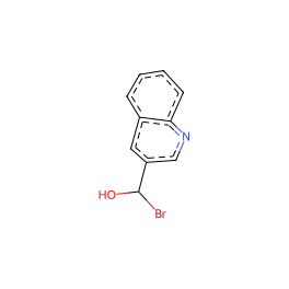 OC(Br)c1cnc2ccccc2c1